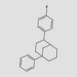 Fc1ccc(C2CCC3(c4ccccc4)CCCC2C3)cc1